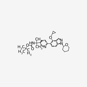 CC(C)(C)OC(=O)NC(C)(C)c1ccc(-c2ccc3c(cnn3C3CCCCO3)c2OC2CC2)nc1